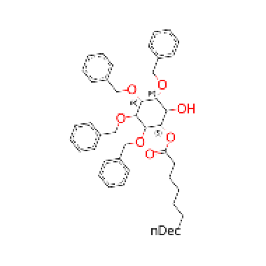 CCCCCCCCCCCCCCCC(=O)O[C@@H]1C(OCc2ccccc2)C(OCc2ccccc2)[C@H](OCc2ccccc2)[C@H](OCc2ccccc2)C1O